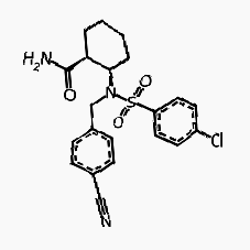 N#Cc1ccc(CN([C@@H]2CCCC[C@@H]2C(N)=O)S(=O)(=O)c2ccc(Cl)cc2)cc1